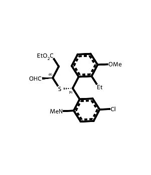 CCOC(=O)C[C@H](C=O)S[C@@H](c1cc(Cl)ccc1NC)c1cccc(OC)c1CC